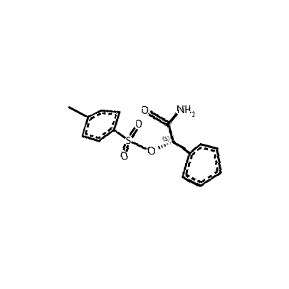 Cc1ccc(S(=O)(=O)O[C@H](C(N)=O)c2ccccc2)cc1